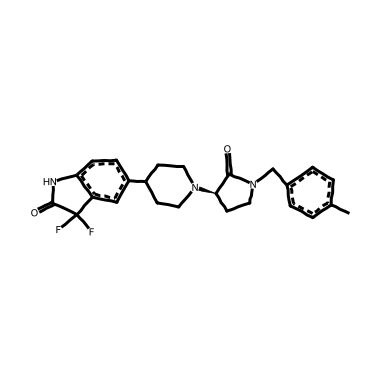 Cc1ccc(CN2CC[C@@H](N3CCC(c4ccc5c(c4)C(F)(F)C(=O)N5)CC3)C2=O)cc1